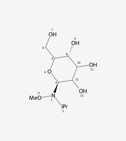 CON(C(C)C)[C@H]1OC(CO)[C@H](O)C(O)C1O